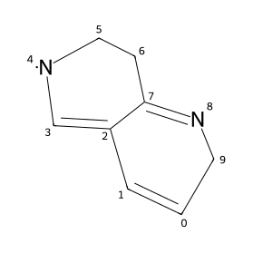 C1=CC2=C[N]CCC2=NC1